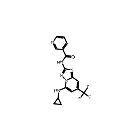 O=C(Nc1nc2cc(C(F)(F)F)cc(NC3CC3)n2n1)c1cccnc1